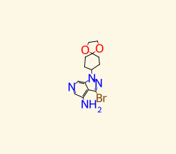 Nc1cncc2c1c(Br)nn2C1CCC2(CC1)OCCO2